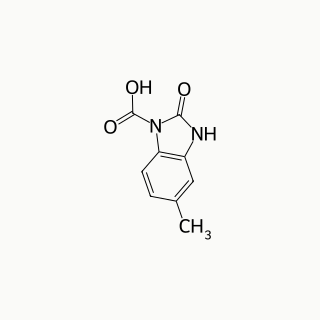 Cc1ccc2c(c1)[nH]c(=O)n2C(=O)O